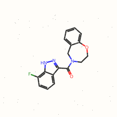 O=C(c1n[nH]c2c(F)cccc12)N1CCOc2ccccc2C1